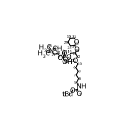 CC(C)(C)OC(=O)NCCCCCCOCC(COP(=O)(O)OCC[N+](C)(C)C)OC1CCCCO1